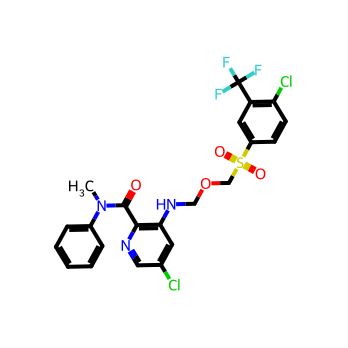 CN(C(=O)c1ncc(Cl)cc1NCOCS(=O)(=O)c1ccc(Cl)c(C(F)(F)F)c1)c1ccccc1